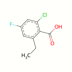 CCc1cc(F)cc(Cl)c1C(=O)O